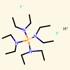 CCN(CC)[P+](N(CC)CC)(N(CC)CC)N(CC)CC.[F-].[F-].[H+]